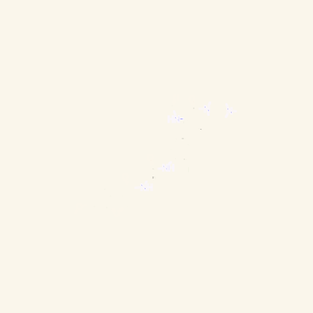 CCC(=O)N[C@@H](C(=O)N1CCN(C)CC1)[C@@H](C)c1ccc(NC(=O)[C@](C)(NC(=O)c2coc3cc(OC)ccc23)C2CCCCCC2)c(F)c1